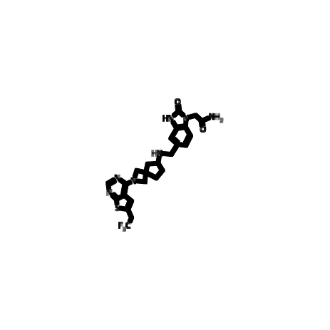 NC(=O)Cn1c(=O)[nH]c2cc(CNC3CCC4(C3)CN(c3ncnc5sc(CC(F)(F)F)cc35)C4)ccc21